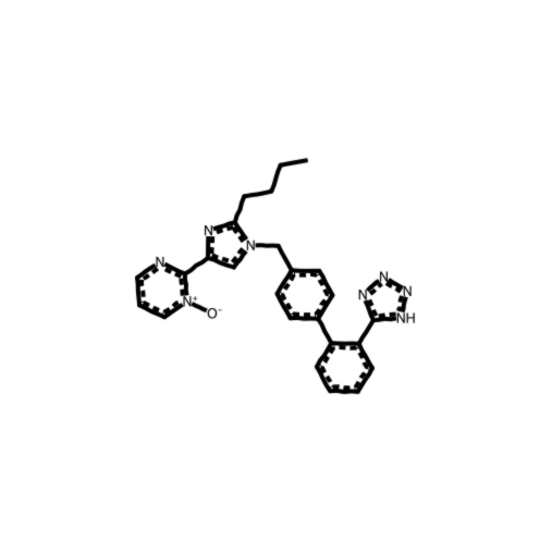 CCCCc1nc(-c2nccc[n+]2[O-])cn1Cc1ccc(-c2ccccc2-c2nnn[nH]2)cc1